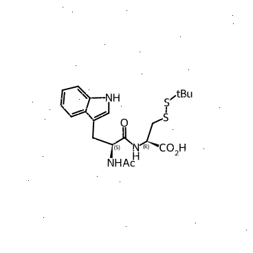 CC(=O)N[C@@H](Cc1c[nH]c2ccccc12)C(=O)N[C@@H](CSSC(C)(C)C)C(=O)O